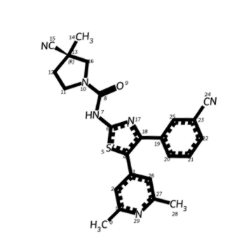 Cc1cc(-c2sc(NC(=O)N3CC[C@@](C)(C#N)C3)nc2-c2cccc(C#N)c2)cc(C)n1